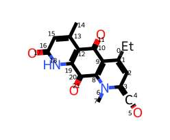 CCC1=CC(=C=O)N(C)C2=C1C(=O)c1c(C)cc(=O)[nH]c1C2=O